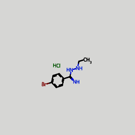 CCNNC(=N)c1ccc(Br)cc1.Cl